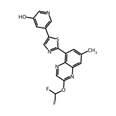 Cc1cc(-c2ncc(-c3cncc(O)c3)s2)c2ncc(OC(F)F)nc2c1